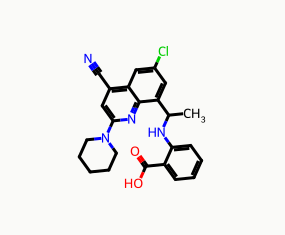 CC(Nc1ccccc1C(=O)O)c1cc(Cl)cc2c(C#N)cc(N3CCCCC3)nc12